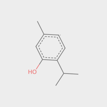 Cc1[c]cc(C(C)C)c(O)c1